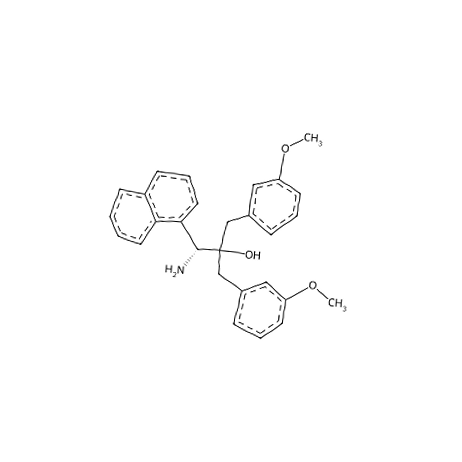 COc1cccc(CC(O)(Cc2cccc(OC)c2)[C@H](N)c2cccc3ccccc23)c1